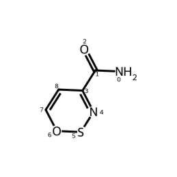 NC(=O)C1=NSOC=C1